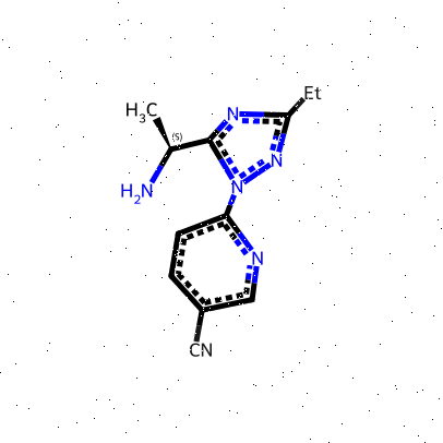 CCc1nc([C@H](C)N)n(-c2ccc(C#N)cn2)n1